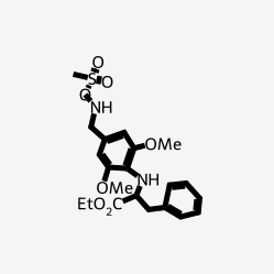 CCOC(=O)C(Cc1ccccc1)Nc1c(OC)cc(CNOS(C)(=O)=O)cc1OC